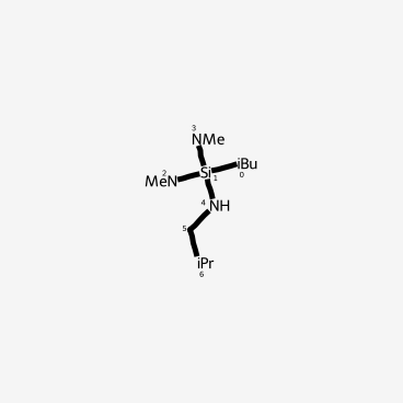 CCC(C)[Si](NC)(NC)NCC(C)C